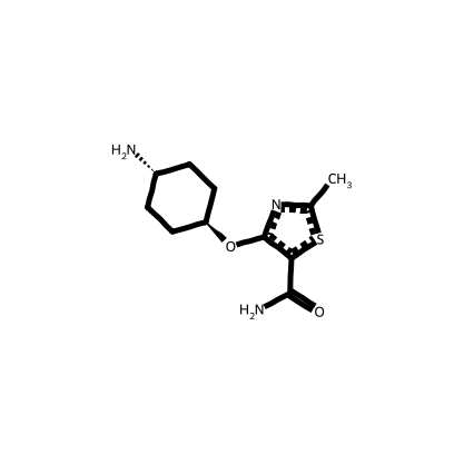 Cc1nc(O[C@H]2CC[C@H](N)CC2)c(C(N)=O)s1